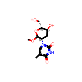 COC1O[C@H](CO)[C@@H](O)C[C@@H]1n1cc(C)c(=O)[nH]c1=O